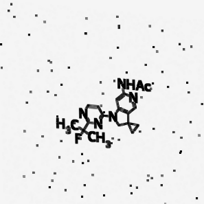 CC(=O)Nc1cc2c(cn1)C1(CC1)CN2c1ccnc(C(C)(C)F)n1